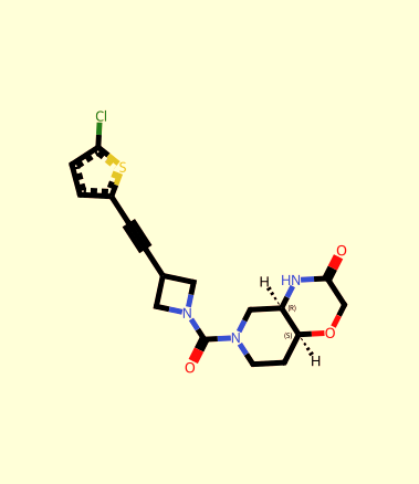 O=C1CO[C@H]2CCN(C(=O)N3CC(C#Cc4ccc(Cl)s4)C3)C[C@H]2N1